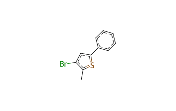 Cc1sc(-c2ccccc2)cc1Br